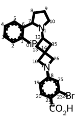 CC(C)c1ccccc1C1CCCN1C1CC2(C1)CN(c1ccc(C(=O)O)c(Br)c1)C2